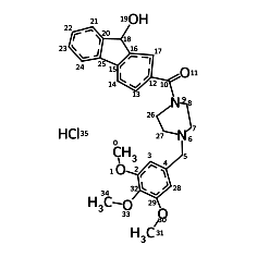 COc1cc(CN2CCN(C(=O)c3ccc4c(c3)C(O)c3ccccc3-4)CC2)cc(OC)c1OC.Cl